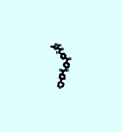 Cc1cc(C(=O)Nc2ccc(C(=O)c3ccc(NC(=O)c4ccc(N5CCOCC5)cc4)cc3)cc2)[nH]n1